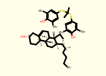 CC(C)(Sc1cc(C(C)(C)C)c(O)c(C(C)(C)C)c1)Sc1cc(C(C)(C)C)c(O)c(C(C)(C)C)c1.CC(C)CCC[C@@H](C)[C@H]1CC[C@H]2[C@@H]3CC=C4C[C@@H](O)CC[C@]4(C)[C@H]3CC[C@]12C